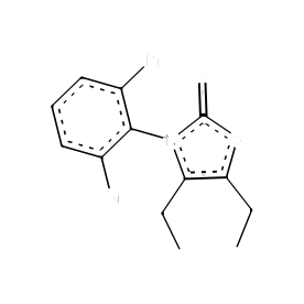 CCc1sc(=S)n(-c2c(Br)cccc2Br)c1CC